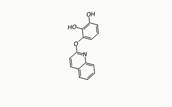 Oc1cccc(Oc2ccc3ccccc3n2)c1O